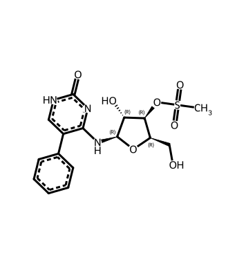 CS(=O)(=O)O[C@@H]1[C@@H](O)[C@H](Nc2nc(=O)[nH]cc2-c2ccccc2)O[C@@H]1CO